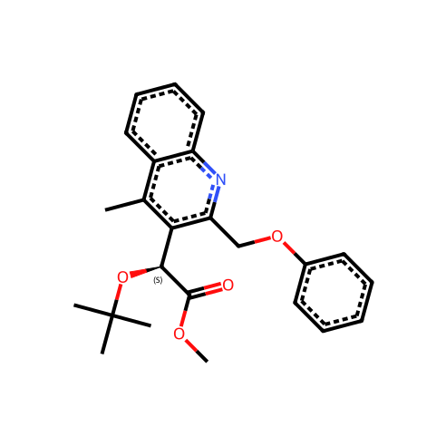 COC(=O)[C@@H](OC(C)(C)C)c1c(COc2ccccc2)nc2ccccc2c1C